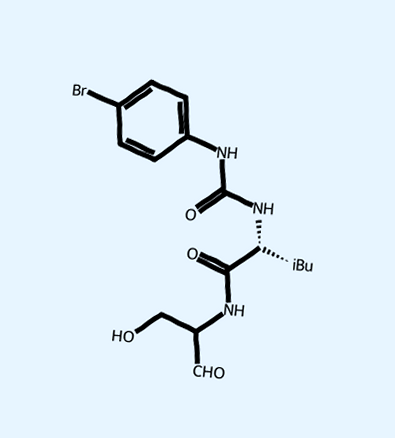 CC[C@@H](C)[C@@H](NC(=O)Nc1ccc(Br)cc1)C(=O)NC(C=O)CO